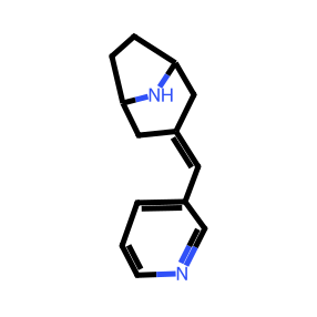 C(=C1CC2CCC(C1)N2)c1cccnc1